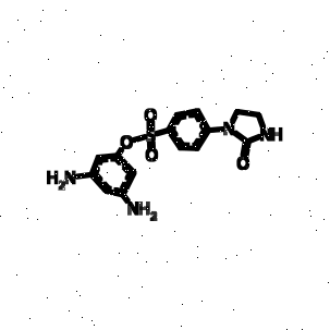 Nc1cc(N)cc(OS(=O)(=O)c2ccc(N3CCNC3=O)cc2)c1